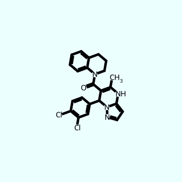 CC1=C(C(=O)N2CCCc3ccccc32)C(c2ccc(Cl)c(Cl)c2)n2nccc2N1